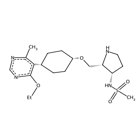 CCOc1ncnc(C)c1[C@H]1CC[C@@H](OC[C@@H]2NCC[C@@H]2NS(C)(=O)=O)CC1